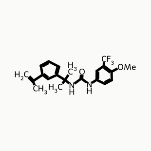 C=C(C)c1cccc(C(C)(C)NC(=O)Nc2ccc(OC)c(C(F)(F)F)c2)c1